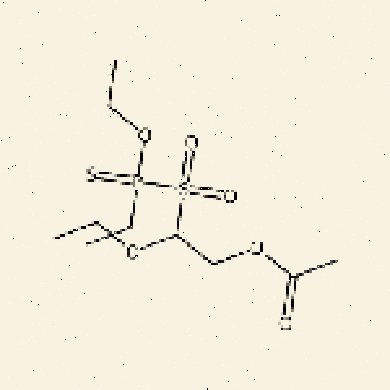 CCOC(COC(C)=O)S(=O)(=O)P(=S)(CC)OCC